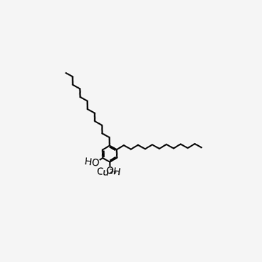 CCCCCCCCCCCCc1cc(O)c(O)cc1CCCCCCCCCCCC.[Cu+2]